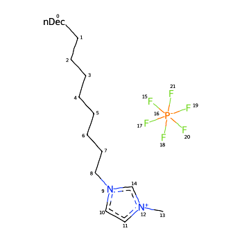 CCCCCCCCCCCCCCCCCCn1cc[n+](C)c1.F[P-](F)(F)(F)(F)F